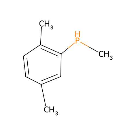 CPc1cc(C)ccc1C